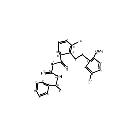 COc1ccc(Br)cc1CCc1c(F)cccc1C(=O)NC(=N)NC(C)c1ccccc1